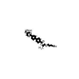 CCCCCCCCCOc1cnc(-c2ccc(-c3ccc(C(=O)O[C@@H](C)COCCCC(C)CC)cc3)cc2)nc1